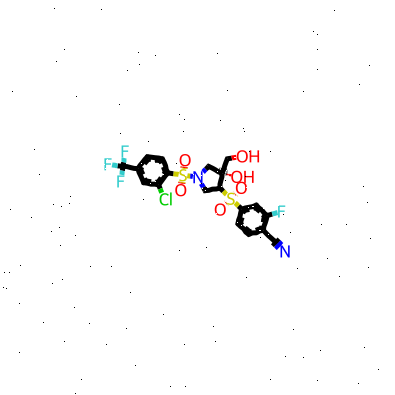 N#Cc1ccc(S(=O)(=O)C2CN(S(=O)(=O)c3ccc(C(F)(F)F)cc3Cl)C[C@@]2(O)CO)cc1F